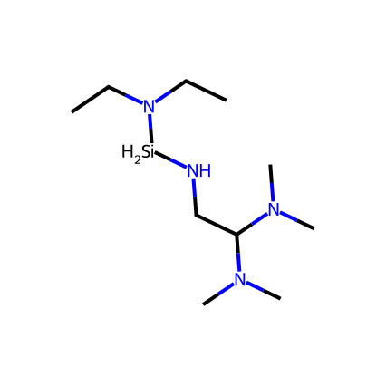 CCN(CC)[SiH2]NCC(N(C)C)N(C)C